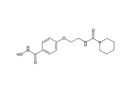 O=C(NO)c1ccc(OCCNC(=O)N2CCCCC2)cc1